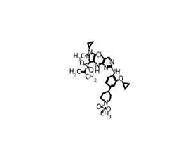 CC(C)S(=O)(=O)C1C(Nc2nc(Nc3ccc(C4CCN(S(C)(=O)=O)CC4)cc3OC3CC3)ncc2Cl)=CN(C2CC2)N1C